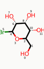 OCC1OC(Br)[C@H](O)[C@H](O)[C@@H]1O